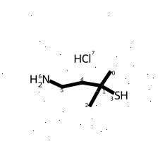 CC(C)(S)CCN.Cl